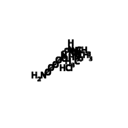 Cc1cccc(C)c1Nc1nn(C)c2nc(Nc3ccc4c(c3)CN(C(=O)CCOCCOCCOCCOCCN)CC4)ncc12.Cl